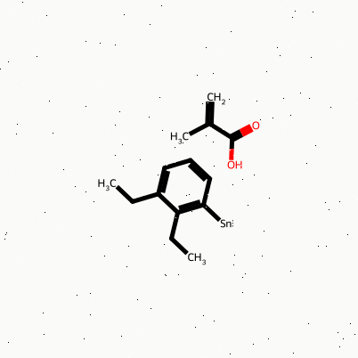 C=C(C)C(=O)O.CCc1ccc[c]([Sn])c1CC